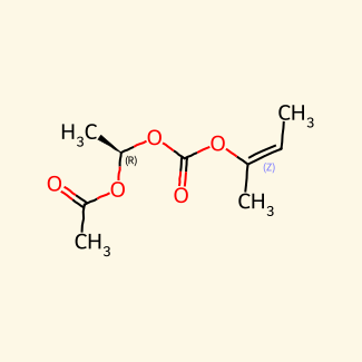 C/C=C(/C)OC(=O)O[C@H](C)OC(C)=O